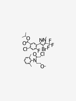 CC(C)OC(=O)c1cc(-c2nn(C)c(C(F)(F)F)c2Br)c(F)cc1Cl.COCCN(C(=O)CCl)c1c(C)cccc1C